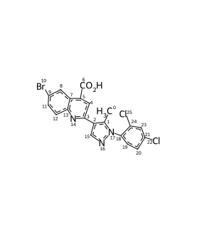 Cc1c(-c2cc(C(=O)O)c3cc(Br)ccc3n2)cnn1-c1ccc(Cl)cc1Cl